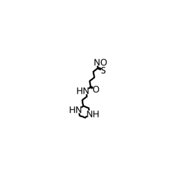 O=NC(=S)CCCC(=O)NCCC1CNCCN1